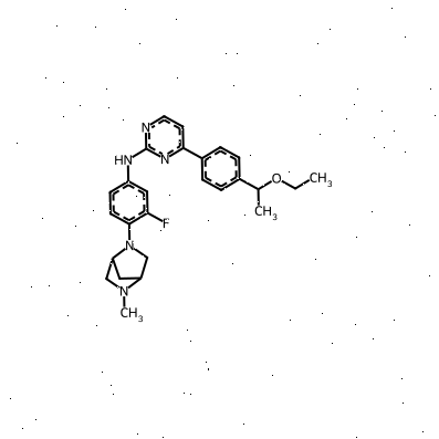 CCOC(C)c1ccc(-c2ccnc(Nc3ccc(N4CC5CC4CN5C)c(F)c3)n2)cc1